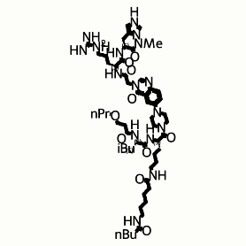 CCCCC(=O)NCCCCCC(=O)NCCCC[C@H](NC(=O)[C@@H](NC(=O)CCOCCC)[C@@H](C)CC)C(=O)N1CCN(c2ccc3ncn(CC(=O)N[C@@H](CCCNC(=N)N)C(=O)N[C@@H](Cc4c[nH]cn4)C(=O)NC)c(=O)c3c2)CC1